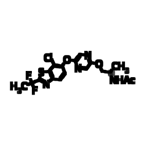 CC(=O)N[C@@H](C)COc1cnc(Oc2ccc3nc(C(C)(F)F)sc3c2Cl)cn1